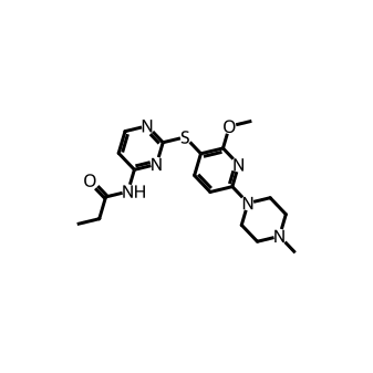 CCC(=O)Nc1ccnc(Sc2ccc(N3CCN(C)CC3)nc2OC)n1